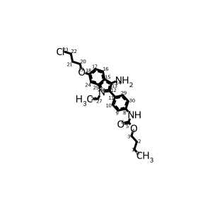 CCCCOC(=O)Nc1ccc(-c2c(N)c3ccc(OCCCCl)cc3n2CC)cc1